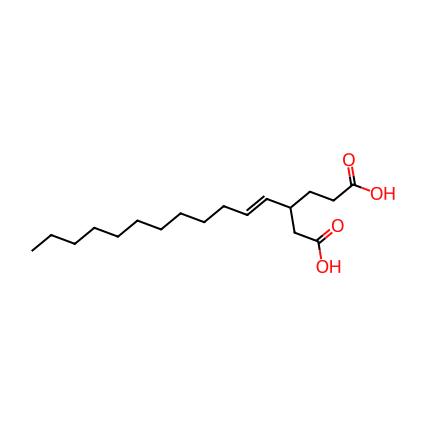 CCCCCCCCCCC=CC(CCC(=O)O)CC(=O)O